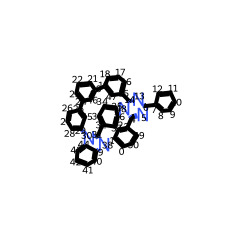 c1ccc(-c2nc(-c3ccccc3)nc(-c3cccc(-c4cccc(-c5cccc(-n6c(-c7ccccc7)nc7ccccc76)c5)c4)c3)n2)cc1